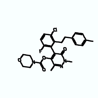 Cc1ccc(CCc2c(Cl)ccc(F)c2-c2c(OC(=O)N3CCOCC3)c(C)nn(C)c2=O)cc1